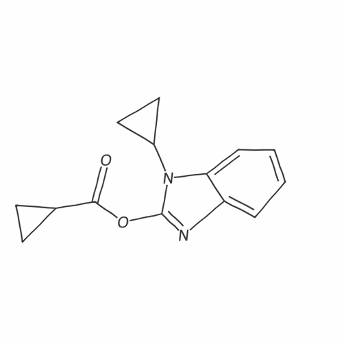 O=C(Oc1nc2ccccc2n1C1CC1)C1CC1